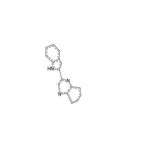 [c]1nc2ccccc2nc1-c1cc2ccccc2[nH]1